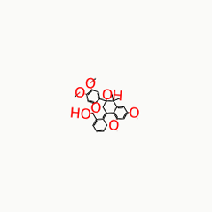 COc1cc(OC)c2c(c1)C(C)(C)C(O)(c1ccc(OC)c(OC)c1)CC2=C1CC=CC=C1C(=O)O